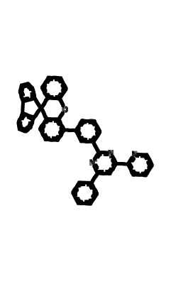 c1ccc(-c2cc(-c3ccccn3)nc(-c3cccc(-c4cccc5c4Oc4ccccc4C54c5ccccc5-c5ccccc54)c3)n2)cc1